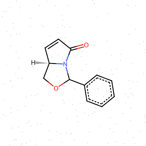 O=C1C=C[C@@H]2COC(c3ccccc3)N12